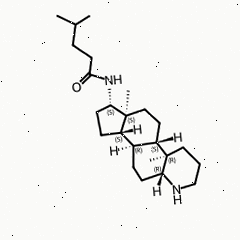 CC(C)CCC(=O)N[C@H]1CC[C@H]2[C@@H]3CC[C@H]4NCCC[C@]4(C)[C@H]3CC[C@]12C